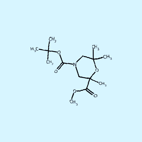 COC(=O)C1(C)CN(C(=O)OC(C)(C)C)CC(C)(C)O1